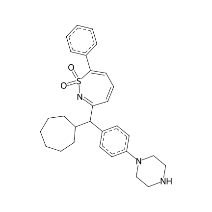 O=S1(=O)N=C(C(c2ccc(N3CCNCC3)cc2)C2CCCCCC2)C=CC=C1c1ccccc1